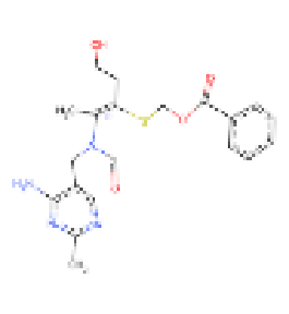 C/C(=C(\CCO)SCOC(=O)c1ccccc1)N(C=O)Cc1cnc(C)nc1N